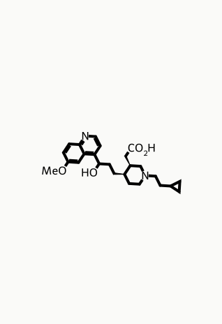 COc1ccc2nccc(C(O)CC[C@@H]3CCN(CCC4CC4)C[C@@H]3CC(=O)O)c2c1